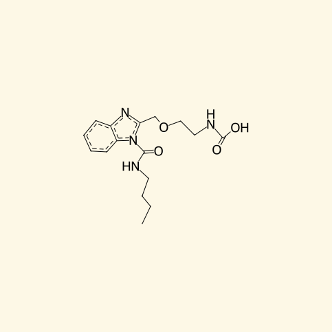 CCCCNC(=O)n1c(COCCNC(=O)O)nc2ccccc21